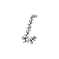 CC(COC(=O)C(C)(C)Br)C(=O)OCCOCCOCCOCCO